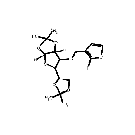 CC1(C)O[C@H]2O[C@H]([C@H]3COC(C)(C)O3)[C@H](OCc3ccoc3F)[C@H]2O1